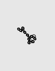 c1ccc(-n2c3ccccc3c3ccc(N(c4ccc(-c5ccc(-n6c7ccccc7c7c8ccccc8ccc76)cc5)cc4)c4ccc5oc6ccccc6c5c4)cc32)cc1